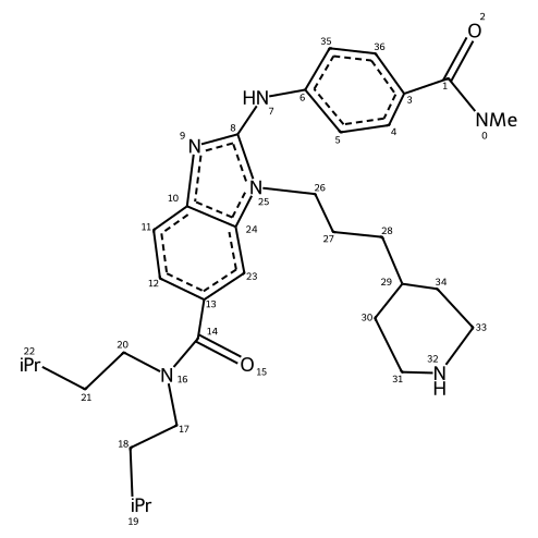 CNC(=O)c1ccc(Nc2nc3ccc(C(=O)N(CCC(C)C)CCC(C)C)cc3n2CCCC2CCNCC2)cc1